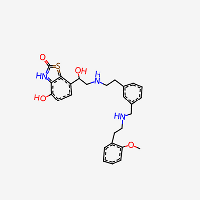 COc1ccccc1CCNCc1cccc(CCNCC(O)c2ccc(O)c3[nH]c(=O)sc23)c1